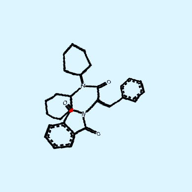 O=C1c2ccccc2C(=O)N1C(Cc1ccccc1)C(=O)N(C1CCCCC1)C1CCCCC1